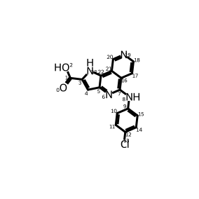 O=C(O)c1cc2nc(Nc3ccc(Cl)cc3)c3ccncc3c2[nH]1